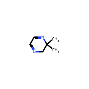 CC1(C)CN=CC=N1